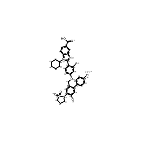 Cl.O=C(O)c1ccc2c(c1)nc(-c1ccc(OCc3cc(N4CCCS4(=O)=O)c(Cl)cc3-c3ccc(Cl)cc3)cc1F)n2C1CCCCC1